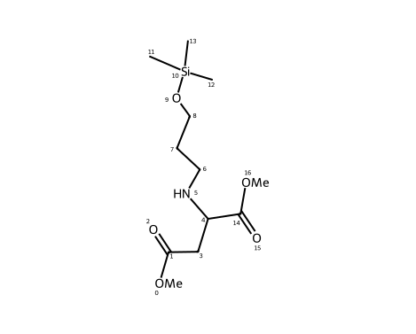 COC(=O)CC(NCCCO[Si](C)(C)C)C(=O)OC